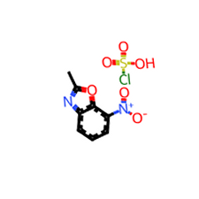 Cc1nc2cccc([N+](=O)[O-])c2o1.O=S(=O)(O)Cl